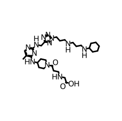 Cc1cnc(NCc2nnn(CCCNCCCNC3CCCCC3)n2)nc1NC1CCN(C(=O)CCNCC(=O)O)CC1